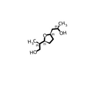 C[C@H](CO)[C@@H]1CC[C@H](C[C@@H](C)O)O1